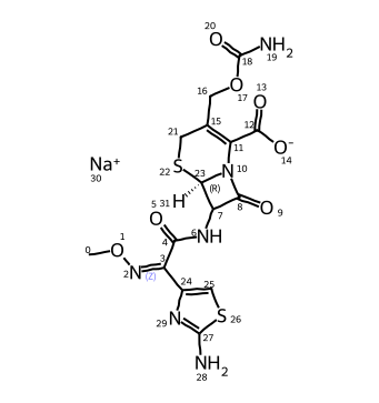 CO/N=C(\C(=O)NC1C(=O)N2C(C(=O)[O-])=C(COC(N)=O)CS[C@H]12)c1csc(N)n1.[Na+]